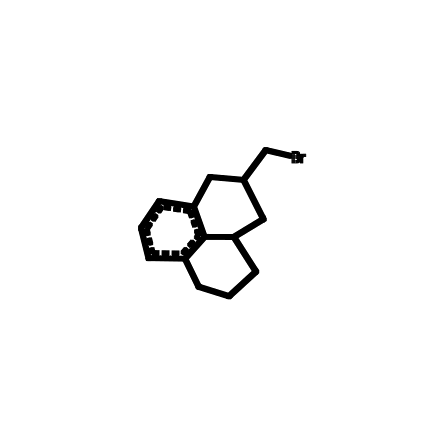 BrCC1Cc2cccc3c2C(CCC3)C1